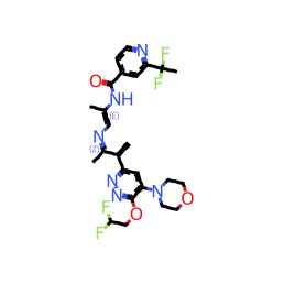 C=C(/C(C)=N\C=C(/C)NC(=O)c1ccnc(C(C)(F)F)c1)c1cc(N2CCOCC2)c(OCC(F)F)nn1